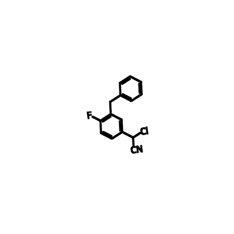 N#CC(Cl)c1ccc(F)c(Cc2ccccc2)c1